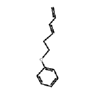 C=CC=CCCOc1cc[c]cc1